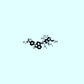 Cc1nn(CCO)c2c1c(O)c(N=Nc1ccc3c4c(cccc14)C(=O)N3c1ccc(N(C)C)cc1)c(C)[n+]2C